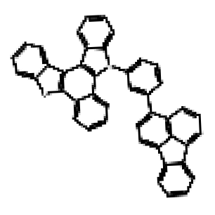 c1cc(-c2ccc3c4c(cccc24)-c2ccccc2-3)cc(-n2c3ccccc3c3c4c5ccccc5oc4c4ccccc4c32)c1